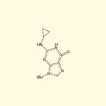 CC(C)(C)n1cnc2c(=O)[nH]c(NC3CC3)nc21